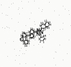 C1=CCCC(c2nc(-c3ccc4ccccc4c3)nc(-c3cccc4c(-c5cccc6oc7ccccc7c56)cccc34)n2)=C1